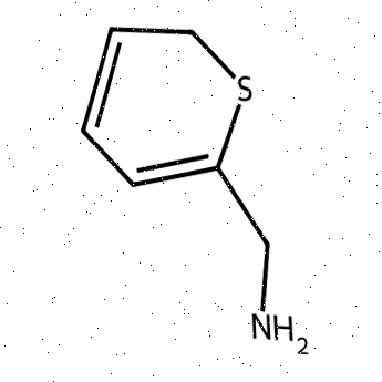 NCC1=CC=CCS1